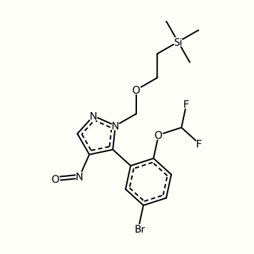 C[Si](C)(C)CCOCn1ncc(N=O)c1-c1cc(Br)ccc1OC(F)F